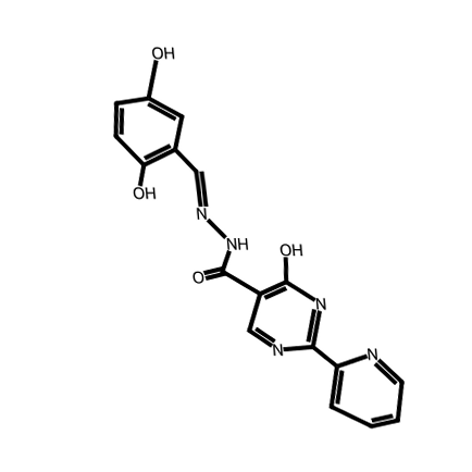 O=C(N/N=C/c1cc(O)ccc1O)c1cnc(-c2ccccn2)nc1O